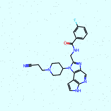 N#CCCN1CCC(n2c(CNC(=O)c3cccc(F)c3)nc3cnc4[nH]ccc4c32)CC1